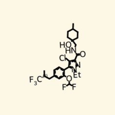 CCn1nc(C(=O)NCC2(O)CCC(C)CC2)c(Cl)c1-c1ccc(C[C@@H](C)C(F)(F)F)cc1OC(F)F